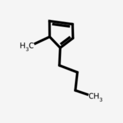 CCCCC1=CC=CC1C